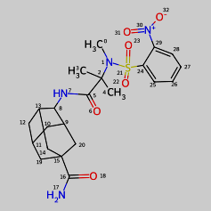 CN(C(C)(C)C(=O)NC1C2CC3CC1CC(C(N)=O)(C3)C2)S(=O)(=O)c1ccccc1[N+](=O)[O-]